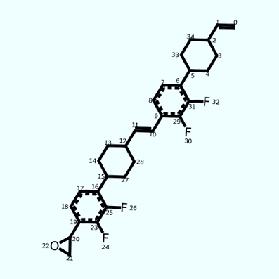 C=CC1CCC(c2ccc(/C=C/C3CCC(c4ccc(C5CO5)c(F)c4F)CC3)c(F)c2F)CC1